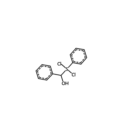 OC(c1ccccc1)S(Cl)(Cl)c1ccccc1